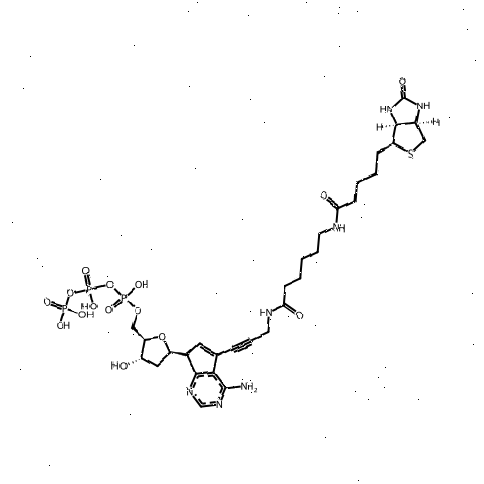 Nc1ncnc2c1C(C#CCNC(=O)CCCCCNC(=O)CCCC[C@@H]1SC[C@@H]3NC(=O)N[C@@H]31)=CC2[C@H]1C[C@H](O)[C@@H](COP(=O)(O)OP(=O)(O)OP(=O)(O)O)O1